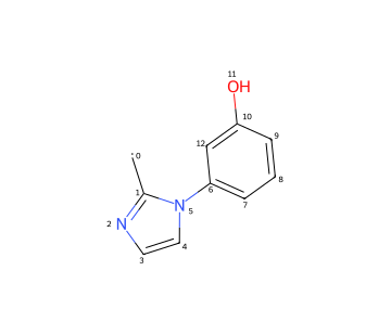 [CH2]c1nccn1-c1cccc(O)c1